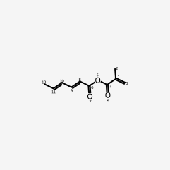 C=C(C)C(=O)OC(=O)C=CC=CC